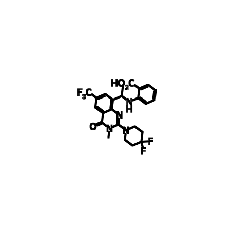 CC(Nc1ccccc1C(=O)O)c1cc(C(F)(F)F)cc2c(=O)n(C)c(N3CCC(F)(F)CC3)nc12